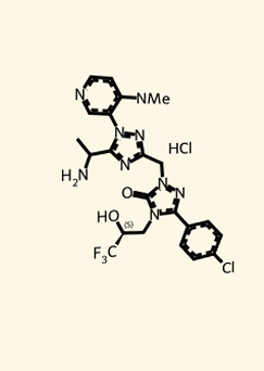 CNc1ccncc1-n1nc(Cn2nc(-c3ccc(Cl)cc3)n(C[C@H](O)C(F)(F)F)c2=O)nc1C(C)N.Cl